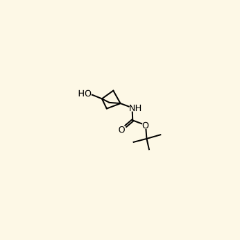 CC(C)(C)OC(=O)NC12CC(O)(C1)C2